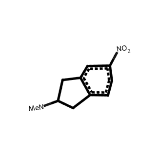 CNC1Cc2ccc([N+](=O)[O-])cc2C1